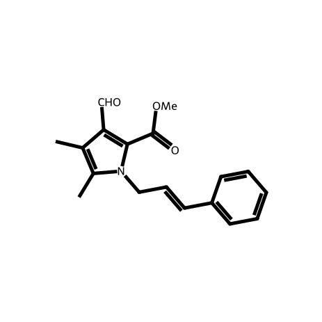 COC(=O)c1c(C=O)c(C)c(C)n1CC=Cc1ccccc1